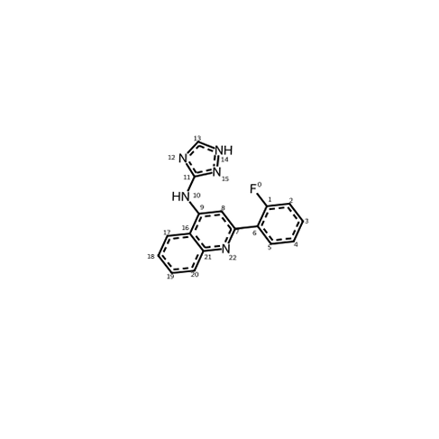 Fc1ccccc1-c1cc(Nc2nc[nH]n2)c2ccccc2n1